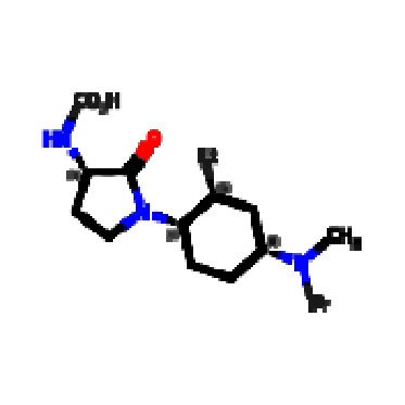 CC[C@H]1C[C@H](N(C)C(C)C)CC[C@@H]1N1CC[C@H](NC(=O)O)C1=O